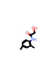 Cc1ccc(NC(=O)CO)c(C)c1